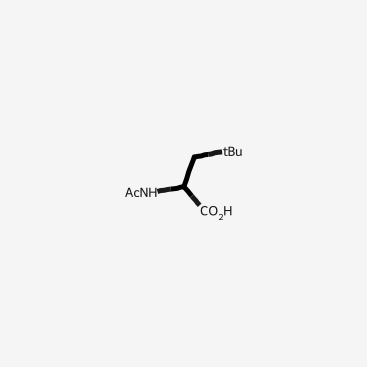 CC(=O)NC(CC(C)(C)C)C(=O)O